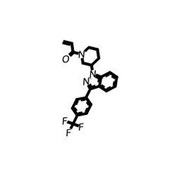 C=CC(=O)N1CCCC(n2nc(-c3ccc(C(F)(F)F)cc3)c3ccccc32)C1